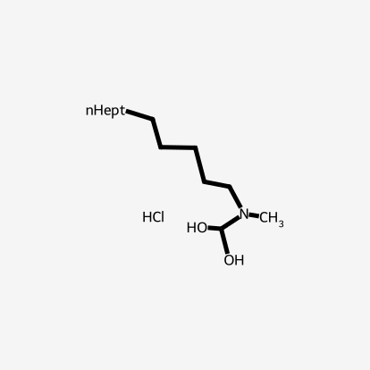 CCCCCCCCCCCCN(C)C(O)O.Cl